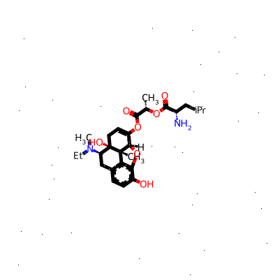 CCN(C)[C@@H]1Cc2ccc(O)c3c2[C@@]2(C)[C@@H](O3)C(OC(=O)[C@H](C)OC(=O)[C@@H](N)CC(C)C)=CC[C@@]12O